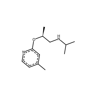 Cc1ccnc(O[C@@H](C)CNC(C)C)c1